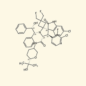 CC(C)(O)[C@@H]1CCC(NC(=O)[C@H]2[C@H](c3ccnc(Cl)c3F)[C@]3(C(=O)Nc4cc(Cl)ccc43)C3(CC(CF)(CF)C3)N2[C@H](c2ccccc2)[C@@H](O)c2ccccc2)CO1